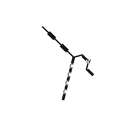 C=C=C=C=C=C(C#CC#CC)/C=N\C=C